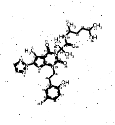 Cc1c(-n2nccn2)sc2c1c(=O)n(C(C)(C)C(=O)NC(C)CCC(C)O)c(=O)n2CCc1cc(F)ccc1O